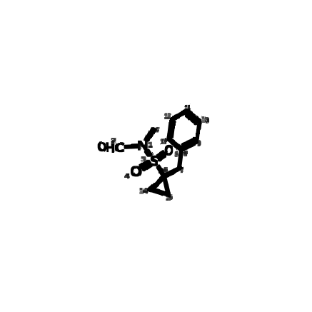 CN(C=O)S(=O)(=O)C1(Cc2ccccc2)CC1